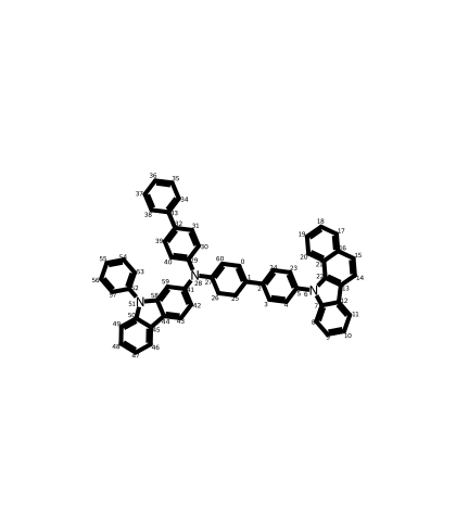 C1=C(c2ccc(-n3c4ccccc4c4ccc5ccccc5c43)cc2)CCC(N(c2ccc(-c3ccccc3)cc2)c2ccc3c4ccccc4n(-c4ccccc4)c3c2)=C1